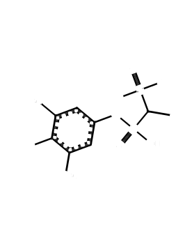 CC(P(=O)(O)O)P(=O)(O)Oc1cc(C(C)(C)C)c(O)c(C(C)(C)C)c1